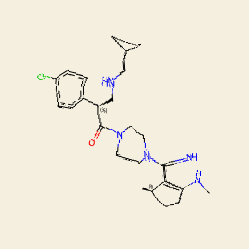 CNC1=C(C(=N)N2CCN(C(=O)[C@H](CNCC3CC3)c3ccc(Cl)cc3)CC2)[C@H](C)CC1